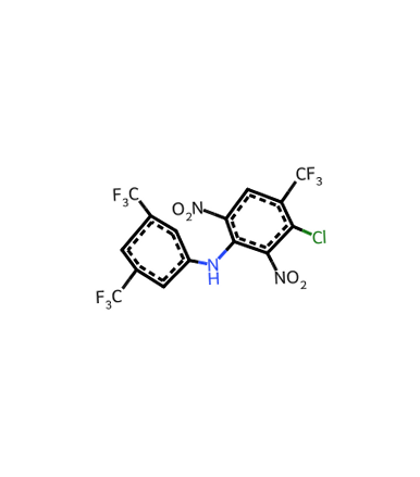 O=[N+]([O-])c1cc(C(F)(F)F)c(Cl)c([N+](=O)[O-])c1Nc1cc(C(F)(F)F)cc(C(F)(F)F)c1